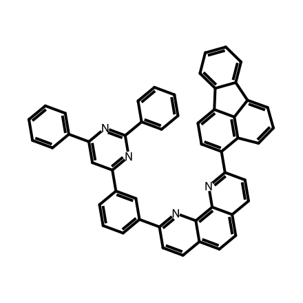 c1ccc(-c2cc(-c3cccc(-c4ccc5ccc6ccc(-c7ccc8c9c(cccc79)-c7ccccc7-8)nc6c5n4)c3)nc(-c3ccccc3)n2)cc1